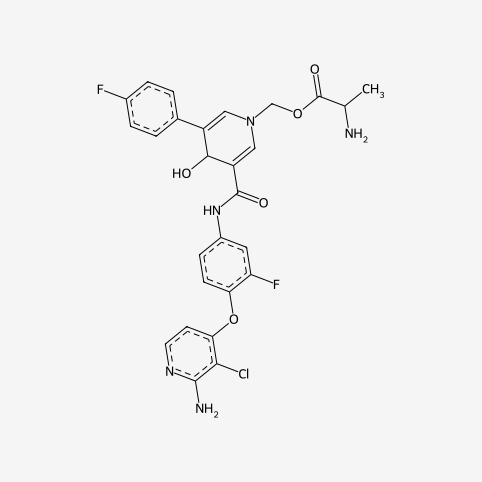 CC(N)C(=O)OCN1C=C(C(=O)Nc2ccc(Oc3ccnc(N)c3Cl)c(F)c2)C(O)C(c2ccc(F)cc2)=C1